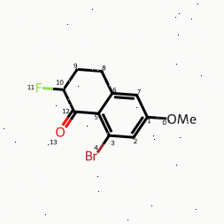 COc1cc(Br)c2c(c1)CCC(F)C2=O